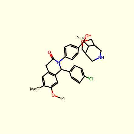 COc1cc2c(cc1OC(C)C)C(c1ccc(Cl)cc1)N(c1ccc([C@@](C)(O)C3C4CNCC3COC4)cc1)C(=O)C2